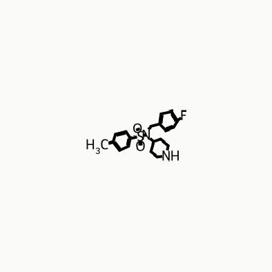 Cc1ccc(S(=O)(=O)N(Cc2ccc(F)cc2)C2CCNCC2)cc1